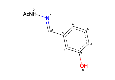 CC(=O)NN=Cc1cccc(O)c1